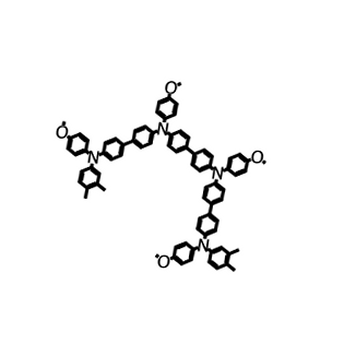 COc1ccc(N(c2ccc(-c3ccc(N(c4ccc(OC)cc4)c4ccc(-c5ccc(N(c6ccc(OC)cc6)c6ccc(C)c(C)c6)cc5)cc4)cc3)cc2)c2ccc(-c3ccc(N(c4ccc(OC)cc4)c4ccc(C)c(C)c4)cc3)cc2)cc1